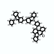 O=c1c2ccccc2c2c(-c3cccc(-n4c5ccccc5c5cc(-c6ccc7c(c6)c6ccccc6n7-c6ccccc6)ccc54)c3)ccc3c4ccccc4n1c32